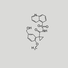 COc1ccc(CO)cc1C1(C(=O)NS(=O)(=O)c2cccc3ncccc23)CC1